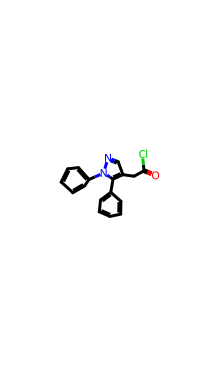 O=C(Cl)Cc1cnn(-c2ccccc2)c1-c1ccccc1